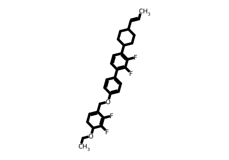 C/C=C/C1CCC(c2ccc(-c3ccc(OCC4=CCC(OCC)C(F)=C4F)cc3)c(F)c2F)CC1